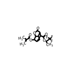 C=C(C)C(=O)OC1C2CC3C1OC(=O)C3C2C(=O)OC(C)C(F)(F)F